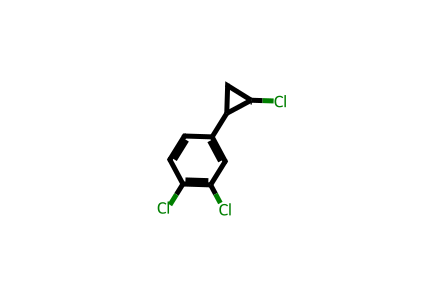 Cl[C]1CC1c1ccc(Cl)c(Cl)c1